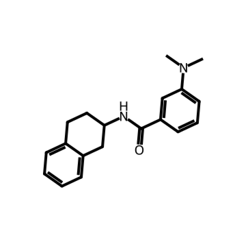 CN(C)c1cccc(C(=O)NC2CCc3ccccc3C2)c1